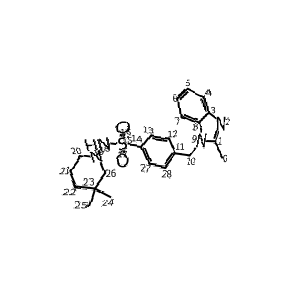 Cc1nc2ccccc2n1Cc1ccc(S(=O)(=O)NN2CCCC(C)(C)C2)cc1